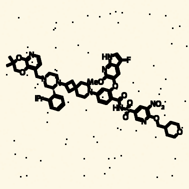 COc1nc2[nH]cc(F)c2cc1Oc1cc(N2CCC3(CC2)CC(N2CCN(Cc4ccnc5c4OCC(C)(C)O5)C[C@H]2c2ccccc2C(C)C)C3)ccc1C(=O)NS(=O)(=O)c1cnc(OCC2CCOCC2)c([N+](=O)[O-])c1